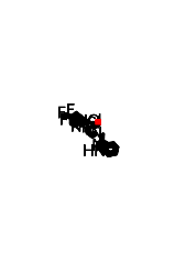 Cl.Cl.FC(F)(F)c1ccc(N2CCN(Cc3n[nH]c4ccccc34)CC2)nc1